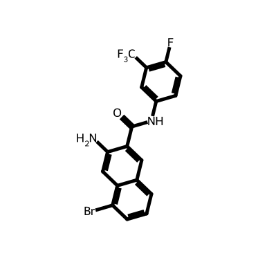 Nc1cc2c(Br)cccc2cc1C(=O)Nc1ccc(F)c(C(F)(F)F)c1